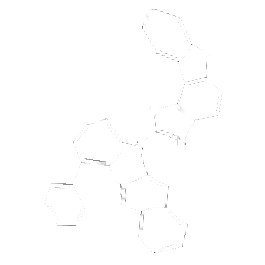 c1ccc(-c2cccc3c2c2cc4ccccc4cc2n3-c2nc3ccc4sc5ccccc5c4c3o2)cc1